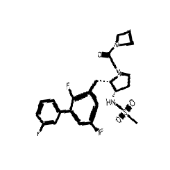 CS(=O)(=O)N[C@H]1CCN(C(=O)N2CCC2)[C@H]1Cc1cc(F)cc(-c2cccc(F)c2)c1F